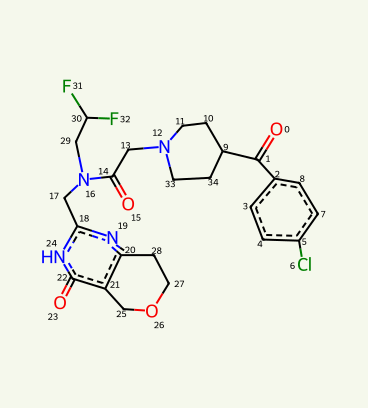 O=C(c1ccc(Cl)cc1)C1CCN(CC(=O)N(Cc2nc3c(c(=O)[nH]2)COCC3)CC(F)F)CC1